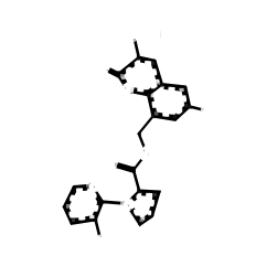 O=C(O)c1cc2cc(Cl)cc(CNC(=O)c3cccn3-c3ncccc3Cl)c2[nH]c1=O